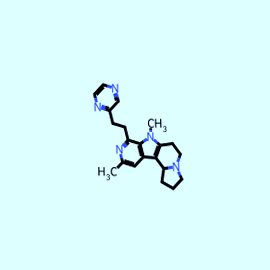 Cc1cc2c3c(n(C)c2c(CCc2cnccn2)n1)CCN1CCCC31